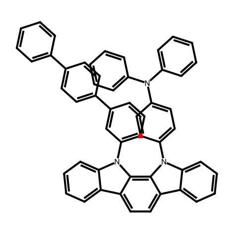 c1ccc(-c2ccc(-c3cccc(-n4c5ccccc5c5ccc6c7ccccc7n(-c7ccc(N(c8ccccc8)c8ccccc8)cc7)c6c54)c3)cc2)cc1